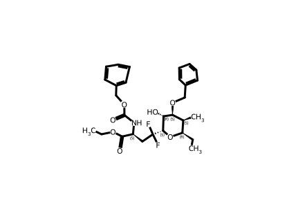 CCOC(=O)[C@H](CC(F)(F)[C@H]1O[C@H](CC)[C@H](C)[C@H](OCc2ccccc2)[C@H]1O)NC(=O)OCc1ccccc1